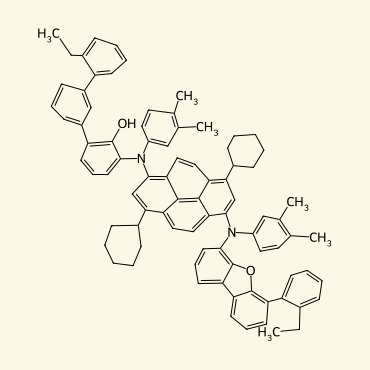 CCc1ccccc1-c1cccc(-c2cccc(N(c3ccc(C)c(C)c3)c3cc(C4CCCCC4)c4ccc5c(N(c6ccc(C)c(C)c6)c6cccc7c6oc6c(-c8ccccc8CC)cccc67)cc(C6CCCCC6)c6ccc3c4c65)c2O)c1